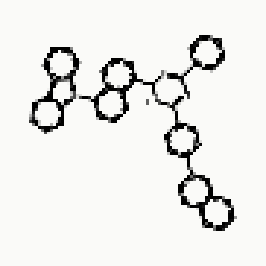 c1ccc(C2=NC(c3cccc4c(-n5c6ccccc6c6ccccc65)cccc34)NC(c3ccc(-c4ccc5ccccc5c4)cc3)=N2)cc1